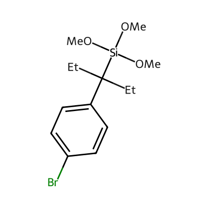 CCC(CC)(c1ccc(Br)cc1)[Si](OC)(OC)OC